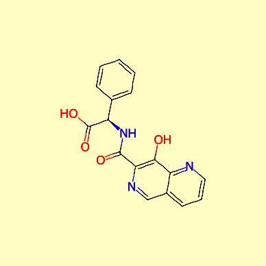 O=C(N[C@@H](C(=O)O)c1ccccc1)c1ncc2cccnc2c1O